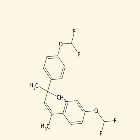 CC(=CC(C)(C)c1ccc(OC(F)F)cc1)c1ccc(OC(F)F)cc1